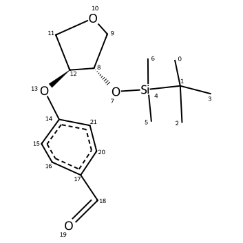 CC(C)(C)[Si](C)(C)O[C@H]1COC[C@@H]1Oc1ccc(C=O)cc1